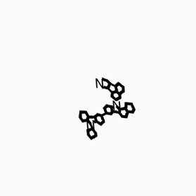 c1ccc(-n2c3ccccc3c3cc(-c4ccc5c(c4)c4ccc6ccccc6c4n5-c4cc5c6c(cccc6c4)-c4ccncc4-5)ccc32)cc1